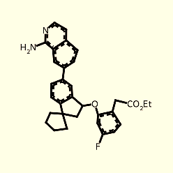 CCOC(=O)Cc1ccc(F)cc1OC1CC2(CCCC2)c2ccc(-c3ccc4ccnc(N)c4c3)cc21